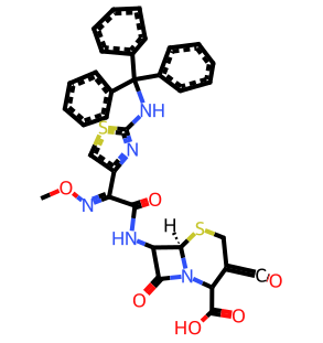 CON=C(C(=O)NC1C(=O)N2C(C(=O)O)C(=C=O)CS[C@H]12)c1csc(NC(c2ccccc2)(c2ccccc2)c2ccccc2)n1